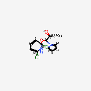 CC(C)(C)C(=O)C(OC1(Cl)C=CC=C(Cl)N1)n1cccc1